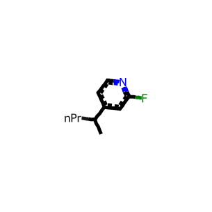 CCCC(C)c1ccnc(F)c1